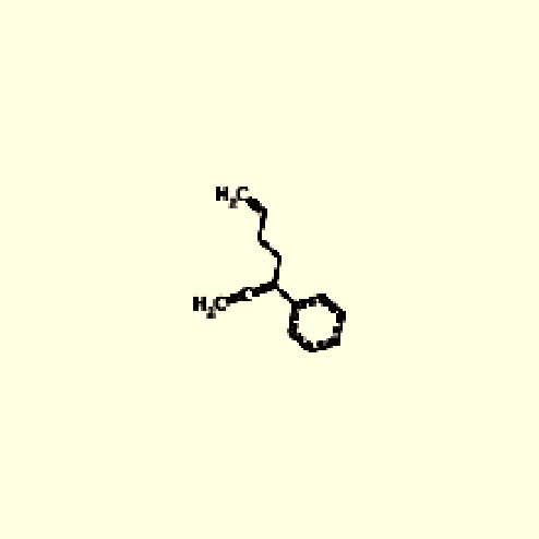 C=C=C(CCC=C)c1ccccc1